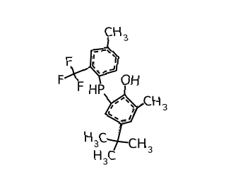 Cc1ccc(Pc2cc(C(C)(C)C)cc(C)c2O)c(C(F)(F)F)c1